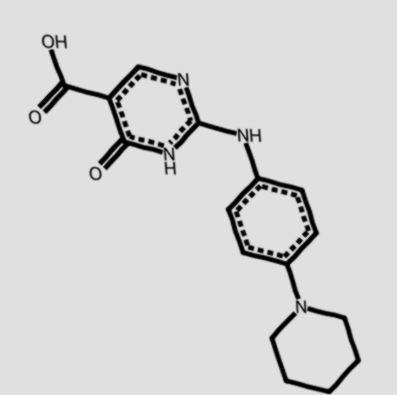 O=C(O)c1cnc(Nc2ccc(N3CCCCC3)cc2)[nH]c1=O